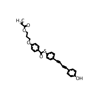 C=CC(=O)OCCCOc1ccc(C(=O)Sc2ccc(C#CC#Cc3ccc(O)cc3)cc2)cc1